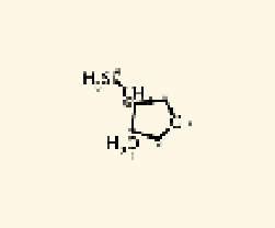 C1CCOC1.C[SiH3].O